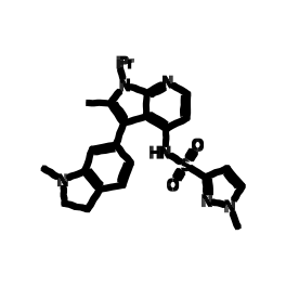 Cc1c(-c2ccc3c(c2)N(C)CC3)c2c(NS(=O)(=O)c3ccn(C)n3)ccnc2n1C(C)C